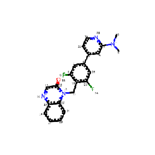 CN(C)c1cc(-c2cc(F)c(Cn3c(=O)cnc4ccccc43)c(F)c2)ccn1